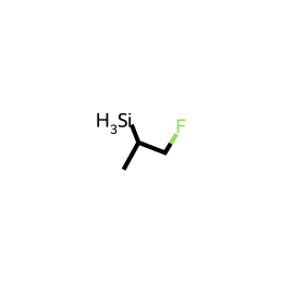 CC([SiH3])CF